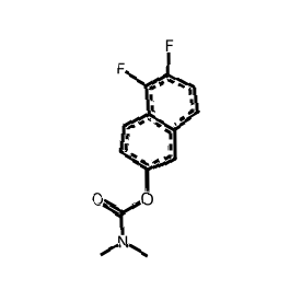 CN(C)C(=O)Oc1ccc2c(F)c(F)ccc2c1